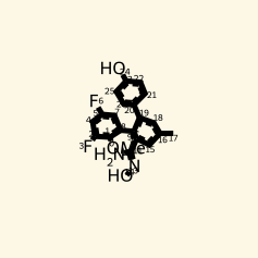 COc1c(F)cc(F)cc1-c1c(/C(N)=N/O)cc(C)cc1-c1ccc(O)cc1